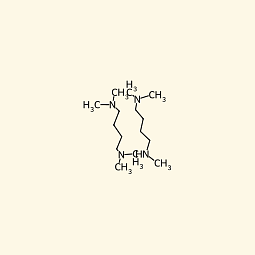 CN(C)CCCCN(C)C.CNCCCCN(C)C